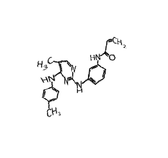 C=CC(=O)Nc1cccc(Nc2ncc(C)c(Nc3ccc(C)cc3)n2)c1